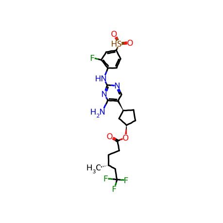 C[C@H](CCC(=O)O[C@@H]1CC[C@H](c2cnc(Nc3ccc([SH](=O)=O)cc3F)nc2N)C1)CC(F)(F)F